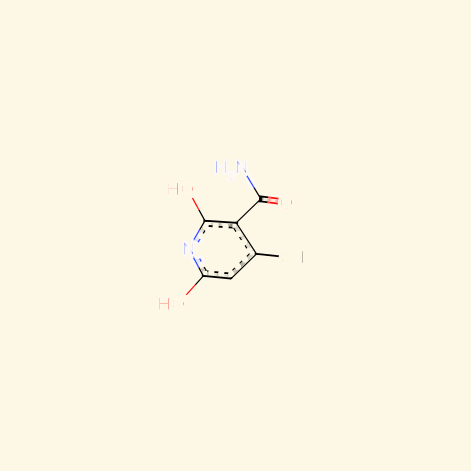 Cc1cc(O)nc(O)c1C(N)=O